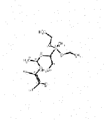 CCO[Si](C)(OCC)C(CC)OC(C)OC(F)=C(F)Cl